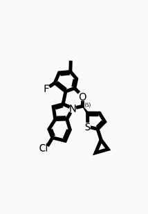 Cc1cc(F)c2c(c1)O[C@@H](c1ccc(C3CC3)s1)n1c-2cc2cc(Cl)ccc21